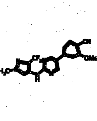 COc1cc(-c2cnc(Nc3cn(C)nc3C(F)(F)F)nc2)ccc1C#N